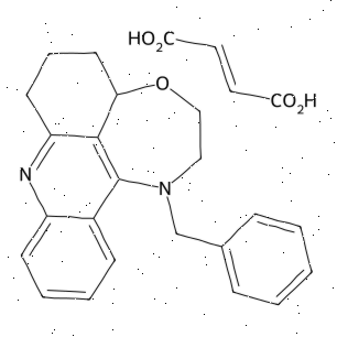 O=C(O)C=CC(=O)O.c1ccc(CN2CCOC3CCCc4nc5ccccc5c2c43)cc1